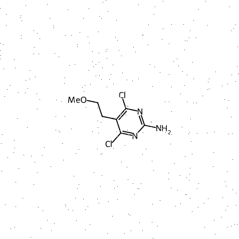 COCCc1c(Cl)nc(N)nc1Cl